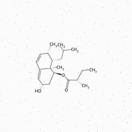 CC[C@H](C)C(=O)O[C@H]1C[C@H](O)C=C2C=C[C@H](C)[C@H](CC(C)C)[C@]21C